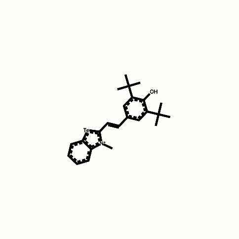 C[n+]1c(/C=C/c2cc(C(C)(C)C)c(O)c(C(C)(C)C)c2)[te]c2ccccc21